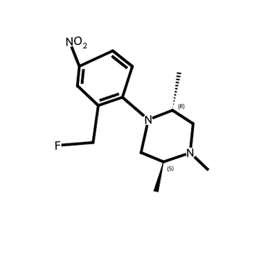 C[C@@H]1CN(C)[C@@H](C)CN1c1ccc([N+](=O)[O-])cc1CF